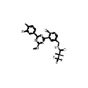 COc1nc(-c2ccc(C)c(F)c2)nc(-c2cc(CNC(=O)C(C)(C)C(F)(F)F)ccc2Cl)n1